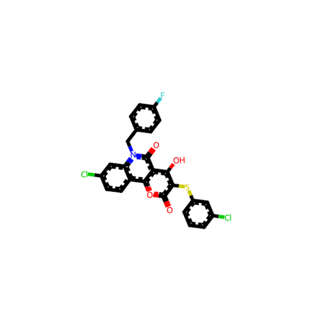 O=c1oc2c(c(O)c1Sc1cccc(Cl)c1)c(=O)n(Cc1ccc(F)cc1)c1cc(Cl)ccc21